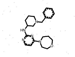 c1ccc(CN2CCCC(Nc3nccc(N4CCCOCC4)n3)C2)cc1